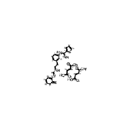 N=C(Nc1cccc(CCNC=NC2=CC=CCC2=S)c1)c1cccs1.O=C(O)/C=C/C(=O)O.O=C(O)/C=C/C(=O)O